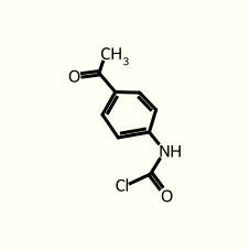 CC(=O)c1ccc(NC(=O)Cl)cc1